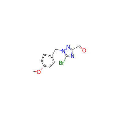 COc1ccc(Cn2nc(C=O)nc2Br)cc1